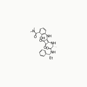 CC[C@@H](NC(=O)[C@@H](C)Nc1c(Nc2cccc(C(=O)N(C)C)c2O)c(=O)c1=O)c1ccccc1